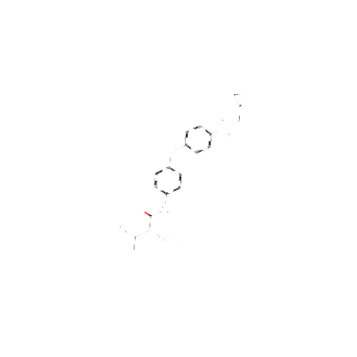 CCCC(N)C(N)C(=O)Nc1ccc(Oc2ccc(S(=O)(=O)C[C@H]3CS3)cc2)cc1